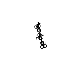 CC1(OC(=O)N2CCC(COc3c(F)cc(-c4ccc(S(C)(=O)=O)nc4)cc3F)CC2)CC1